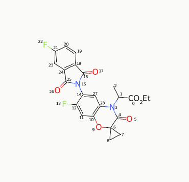 CCOC(=O)C(C)N1C(=O)C2(CC2)Oc2cc(F)c(N3C(=O)c4ccc(F)cc4C3=O)cc21